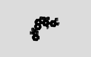 COc1cc(-c2ccc(F)c(Cl)c2)c(F)cc1-n1c2c(ccc1=O)CN(S(=O)(=O)Nc1cccnn1)CC2